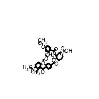 COCOc1ccc(C(=O)N[C@@H]2CN(C(=O)O)CCC[C@H]2OC(=O)c2ccc(C(=O)c3c(OCOC)ccc(N(C)C)c3F)cc2)cc1